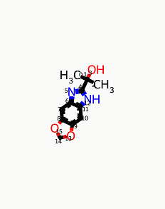 CC(C)(O)c1nc2cc3c(cc2[nH]1)OCO3